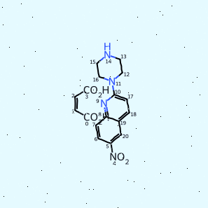 O=C(O)/C=C\C(=O)O.O=[N+]([O-])c1ccc2nc(N3CCNCC3)ccc2c1